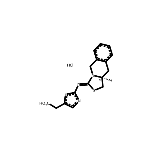 Cl.O=C(O)Cc1cnc(N=C2SC[C@@H]3Cc4ccccc4CN23)s1